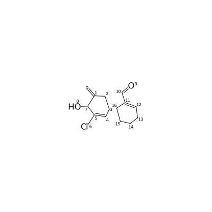 C=C1CCC=C(Cl)C1O.O=CC1=CCCCC1